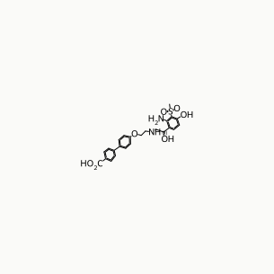 CS(=O)(=O)c1c(O)ccc([C@@H](O)CNCCOc2ccc(-c3ccc(C(=O)O)cc3)cc2)c1N